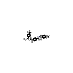 CC(OC(=O)Nc1ccc(C(=N)/N=C\Nc2ccc(OC(F)(F)F)cc2)cc1)c1ccc(C(F)(F)F)cc1